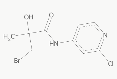 CC(O)(CBr)C(=O)Nc1ccnc(Cl)c1